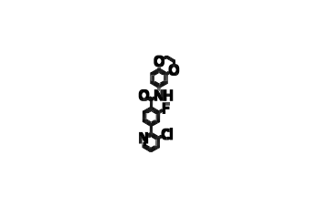 O=C(Nc1ccc2c(c1)OCCO2)c1ccc(-c2ncccc2Cl)cc1F